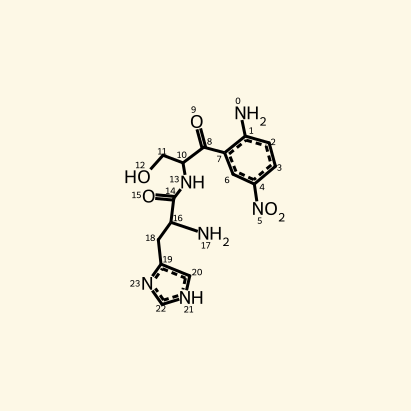 Nc1ccc([N+](=O)[O-])cc1C(=O)C(CO)NC(=O)C(N)Cc1c[nH]cn1